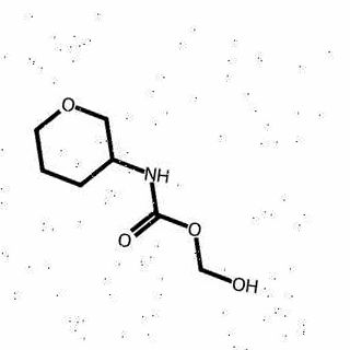 O=C(NC1CCCOC1)OCO